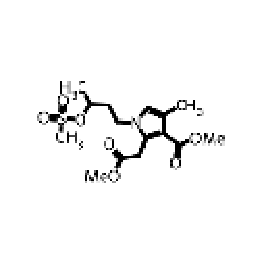 COC(=O)Cc1c(C(=O)OC)c(C)cn1CCC(C)OS(C)(=O)=O